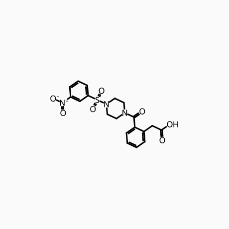 O=C(O)Cc1ccccc1C(=O)N1CCN(S(=O)(=O)c2cccc([N+](=O)[O-])c2)CC1